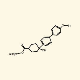 CCCCCCCOC(=O)C1CCC(O)(c2ccc(-c3ccc(OCC)cc3)cc2)CC1